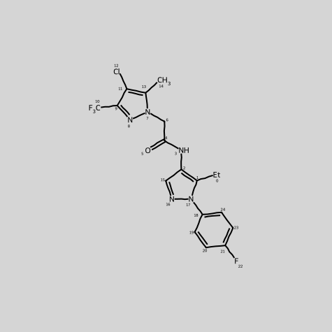 CCc1c(NC(=O)Cn2nc(C(F)(F)F)c(Cl)c2C)cnn1-c1ccc(F)cc1